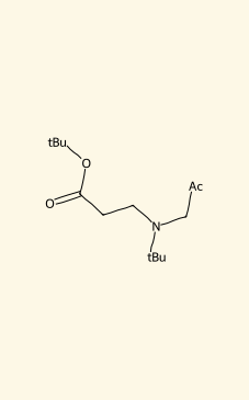 CC(=O)CN(CCC(=O)OC(C)(C)C)C(C)(C)C